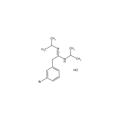 CC(C)/N=C(\Cc1cccc(Br)c1)NC(C)C.Cl